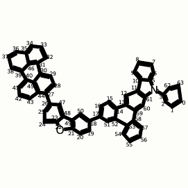 c1ccc(-n2c3ccccc3c3cc4c5ccc(-c6ccc7oc8ccc(-c9ccc%10c%11cccc%12cccc(c%13cccc9c%13%10)c%12%11)cc8c7c6)cc5c5ccccc5c4cc32)cc1